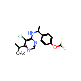 CC(=O)OC(C)c1ncnc(NC(C)c2ccc(OC(F)F)cc2)c1Cl